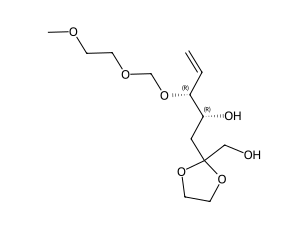 C=C[C@@H](OCOCCOC)[C@H](O)CC1(CO)OCCO1